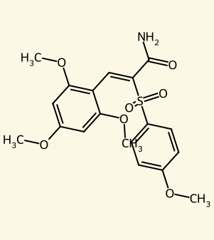 COc1ccc(S(=O)(=O)/C(=C\c2c(OC)cc(OC)cc2OC)C(N)=O)cc1